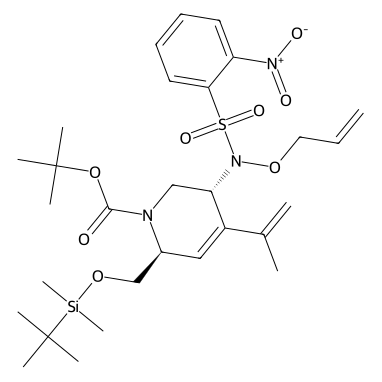 C=CCON([C@H]1CN(C(=O)OC(C)(C)C)[C@H](CO[Si](C)(C)C(C)(C)C)C=C1C(=C)C)S(=O)(=O)c1ccccc1[N+](=O)[O-]